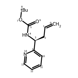 C=CC[C@H](NC(=O)OC(C)(C)C)c1c[c]ccn1